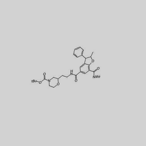 CNC(=O)c1cc(C(=O)NCCC2CN(C(=O)OC(C)(C)C)CCO2)cc2c1OC(C)C2c1ccccc1